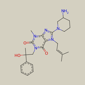 CC(C)=CCn1c(N2CCCC(N)C2)nc2c1c(=O)n(CC(C)(O)c1ccccc1)c(=O)n2C